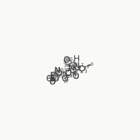 C#Cc1ccc2c(c1)[nH]c1c2c(=O)c2cc(OC)c(-c3cncc(OS(=O)(=O)F)c3)cc2n1C1CCOCC1